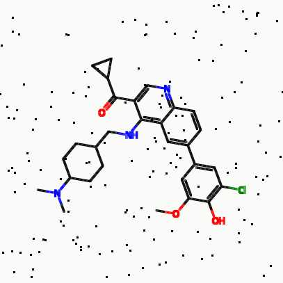 COc1cc(-c2ccc3ncc(C(=O)C4CC4)c(NCC4CCC(N(C)C)CC4)c3c2)cc(Cl)c1O